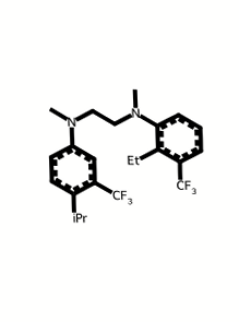 CCc1c(N(C)CCN(C)c2ccc(C(C)C)c(C(F)(F)F)c2)cccc1C(F)(F)F